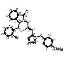 COc1ccc(Cn2nncc2/C=C(\F)CN2C(=O)c3ccccc3C2Cc2ncccc2Br)cc1